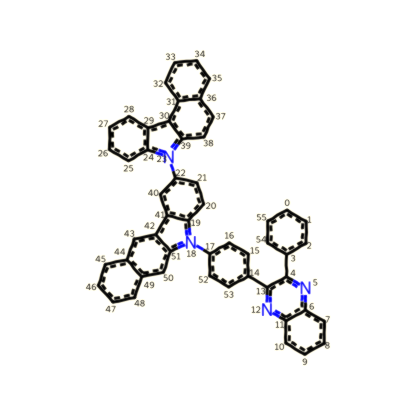 c1ccc(-c2nc3ccccc3nc2-c2ccc(-n3c4ccc(-n5c6ccccc6c6c7ccccc7ccc65)cc4c4cc5ccccc5cc43)cc2)cc1